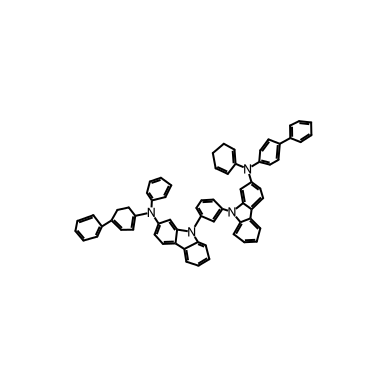 C1=CC(N(c2ccc(-c3ccccc3)cc2)c2ccc3c4ccccc4n(-c4cccc(-n5c6ccccc6c6ccc(N(C7=CC=C(c8ccccc8)CC7)c7ccccc7)cc65)c4)c3c2)=CCC1